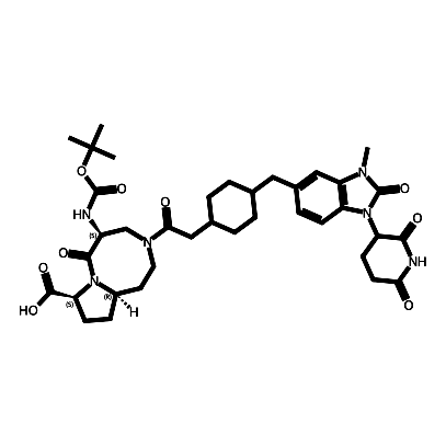 Cn1c(=O)n(C2CCC(=O)NC2=O)c2ccc(CC3CCC(CC(=O)N4CC[C@H]5CC[C@@H](C(=O)O)N5C(=O)[C@@H](NC(=O)OC(C)(C)C)C4)CC3)cc21